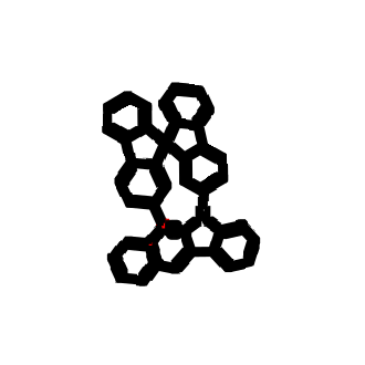 O=C(c1ccccc1)c1ccc2c(c1)C1(c3ccccc3-2)c2ccccc2-c2ccc(-n3c4ccccc4c4ccccc43)cc21